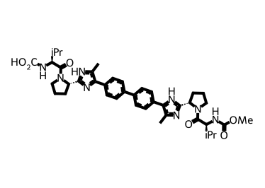 COC(=O)N[C@H](C(=O)N1CCC[C@H]1c1nc(C)c(-c2ccc(-c3ccc(-c4nc([C@@H]5CCCN5C(=O)[C@@H](NC(=O)O)C(C)C)[nH]c4C)cc3)cc2)[nH]1)C(C)C